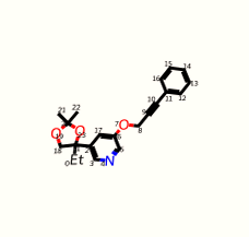 CCC1(c2cncc(OCC#Cc3ccccc3)c2)COC(C)(C)O1